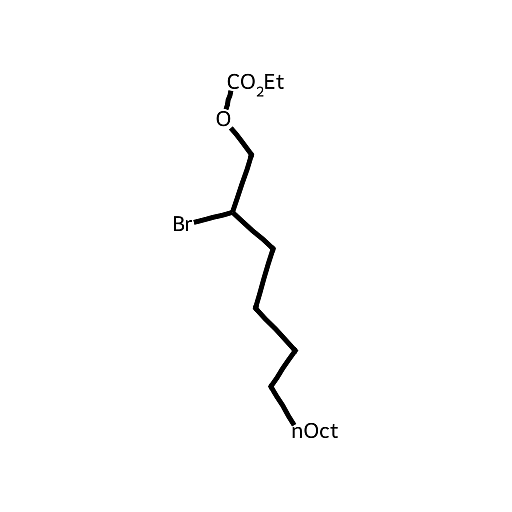 CCCCCCCCCCCCC(Br)COC(=O)OCC